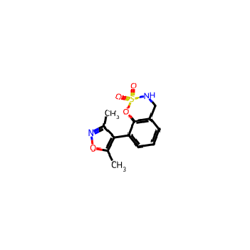 Cc1noc(C)c1-c1cccc2c1OS(=O)(=O)NC2